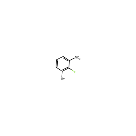 CC(C)c1cccc([N+](=O)[O-])c1F